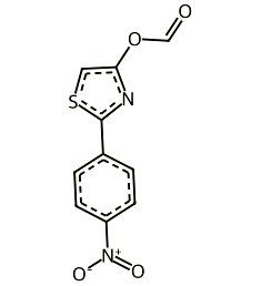 O=COc1csc(-c2ccc([N+](=O)[O-])cc2)n1